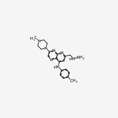 Cc1ccc(Nc2cc(CNN)nc3nc(N4CCN(C)CC4)cnc23)cc1